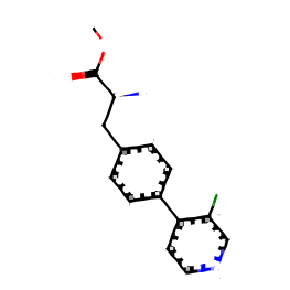 COC(=O)[C@@H](N)Cc1ccc(-c2ccncc2F)cc1